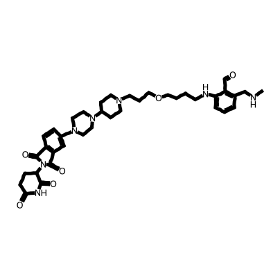 CNCc1cccc(NCCCCOCCCN2CCC(N3CCN(c4ccc5c(c4)C(=O)N(C4CCC(=O)NC4=O)C5=O)CC3)CC2)c1C=O